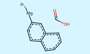 O=CO.[Br][Mg][c]1ccc2ccccc2c1